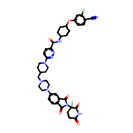 N#Cc1ccc(OC2CCC(NC(=O)c3ccc(N4CCC(CN5CCN(c6ccc7c(c6)C(=O)N([C@@]6(F)CCC(=O)NC6=O)C7=O)CC5)CC4)nn3)CC2)cc1Cl